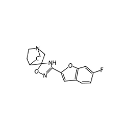 Fc1ccc2cc(C3=NOC4(CN5CCC4CC5)N3)oc2c1